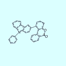 O=c1oc2cccc(-c3ccc4c(c3)c3ccccc3n4-c3ccccc3)c2c2ccccc12